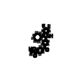 O=C(c1ccc(C2Nc3cc(F)c(F)cc3N2C2CCCCCCC2)cc1)N1CCN(C(=O)C2(O)CC2)CC1